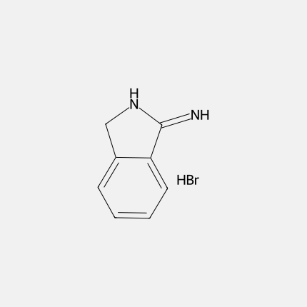 Br.N=C1NCc2ccccc21